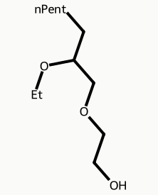 CCCCCCC(COCCO)OCC